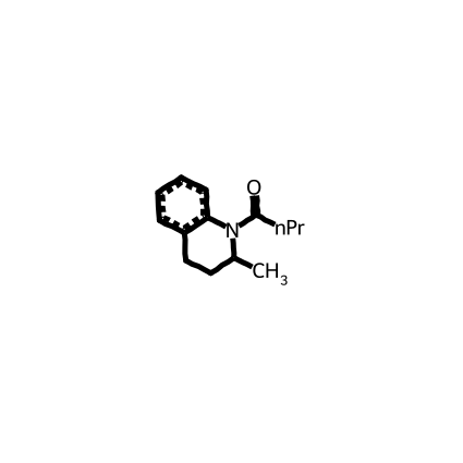 CCCC(=O)N1c2ccccc2CCC1C